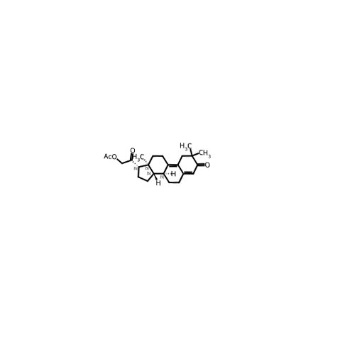 CC(=O)OCC(=O)[C@H]1CC[C@H]2[C@@H]3CCC4=CC(=O)C(C)(C)CC4=C3CC[C@]12C